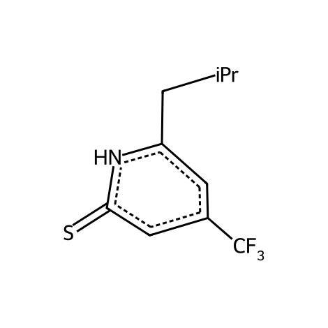 CC(C)Cc1cc(C(F)(F)F)cc(=S)[nH]1